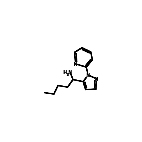 CCCCC(N)c1ccnn1-c1ccccn1